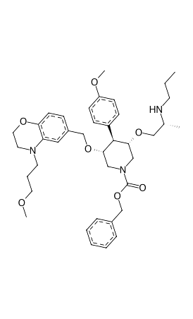 CCCN[C@H](C)CO[C@@H]1CN(C(=O)OCc2ccccc2)C[C@H](OCc2ccc3c(c2)N(CCCOC)CCO3)[C@H]1c1ccc(OC)cc1